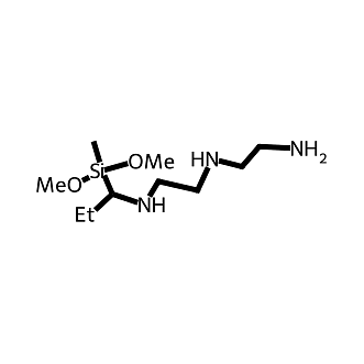 CCC(NCCNCCN)[Si](C)(OC)OC